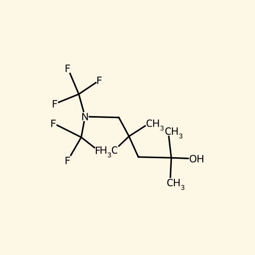 CC(C)(O)CC(C)(C)CN(C(F)(F)F)C(F)(F)F